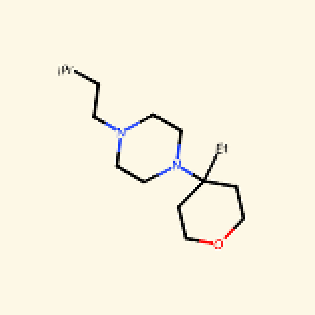 CCC1(N2CCN(CCC(C)C)CC2)CCOCC1